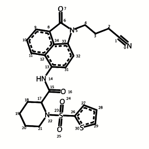 N#CCCCN1C(=O)c2cccc3c(NC(=O)C4CCCCN4S(=O)(=O)c4cccs4)ccc1c23